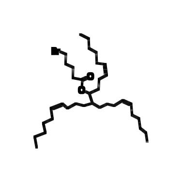 CCCCC/C=C\CCCC(CCC/C=C\CCCCC)C(CC/C=C\CCCCC)OC(=O)CCCCBr